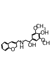 COc1cc(C(O)CNCC2=Cc3ccccc3OC2)cc(OC)c1O